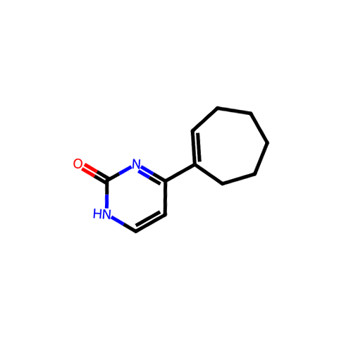 O=c1nc(C2=CCCCCC2)cc[nH]1